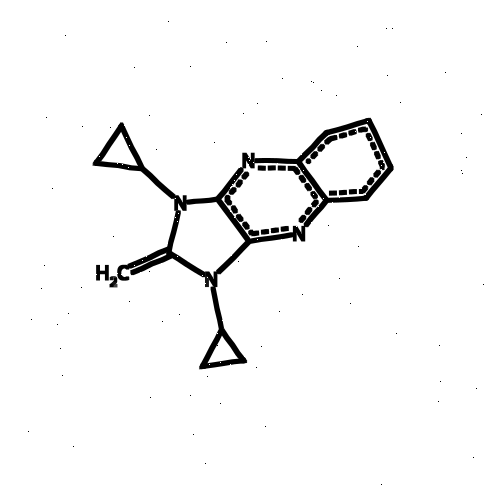 C=C1N(C2CC2)c2nc3ccccc3nc2N1C1CC1